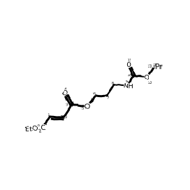 CCOC(=O)/C=C/C(=O)OCCCNC(=O)OC(C)C